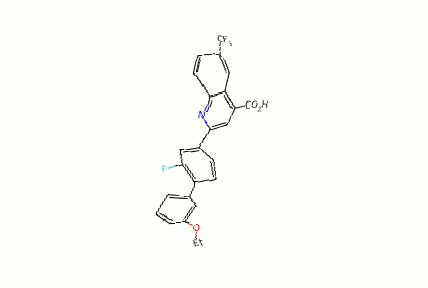 CCOc1cccc(-c2ccc(-c3cc(C(=O)O)c4cc(C(F)(F)F)ccc4n3)cc2F)c1